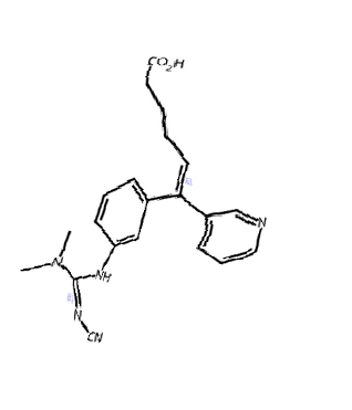 CN(C)/C(=N/C#N)Nc1cccc(/C(=C\CCCC(=O)O)c2cccnc2)c1